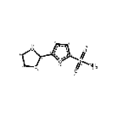 NS(=O)(=O)c1ccc(C2OCCO2)o1